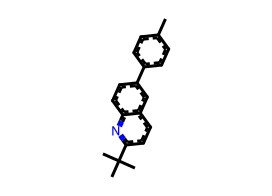 Cc1ccc(-c2ccc3nc(C(C)(C)C)ccc3c2)cc1